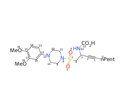 CCCCCC#CC(CS(=O)(=O)N1CCN(c2ccc(OC)c(OC)c2)CC1)NC(=O)O